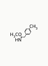 COC(=N)Cc1ccc(C)cc1